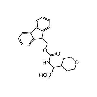 O=C(NC(C(=O)O)C1CCOCC1)OCC1c2ccccc2-c2ccccc21